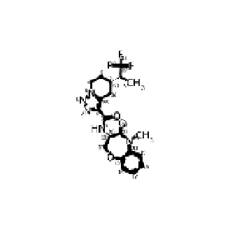 CC([C@H]1CCn2nnc(C(=O)N[C@H]3COc4ccccc4N(C)C3=O)c2C1)C(F)(F)F